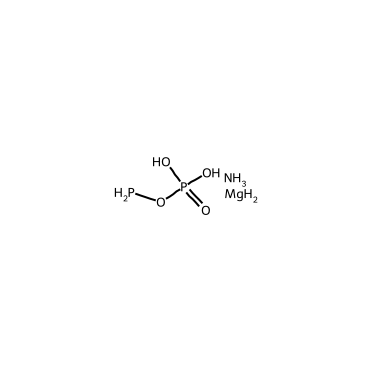 N.O=P(O)(O)OP.[MgH2]